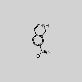 O=[N+]([O-])c1ccc2c(c1)CNC=C2